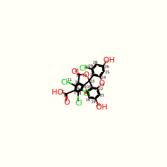 O=C(O)c1c(Cl)c(Cl)c2c(c1Cl)C(=O)OC21c2ccc(O)cc2Oc2cc(O)cc(Cl)c21